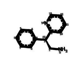 NC[C@@H](c1ccccc1)c1ccccn1